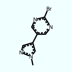 Cn1cc(-c2cnc(Br)nc2)cn1